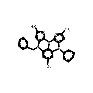 Cc1cc2c(o1)B1c3oc(C)cc3N(c3ccccc3)c3cc(C(C)(C)C)cc(c31)N2Cc1ccccc1